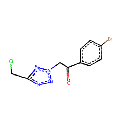 O=C(Cn1nnc(CCl)n1)c1ccc(Br)cc1